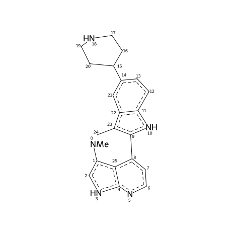 CNc1c[nH]c2nccc(-c3[nH]c4ccc(C5CCNCC5)cc4c3C)c12